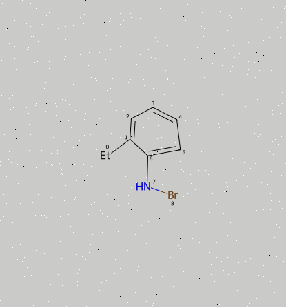 CCc1ccccc1NBr